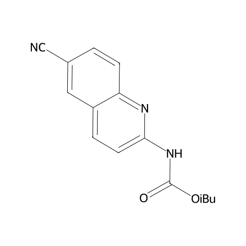 CC(C)COC(=O)Nc1ccc2cc(C#N)ccc2n1